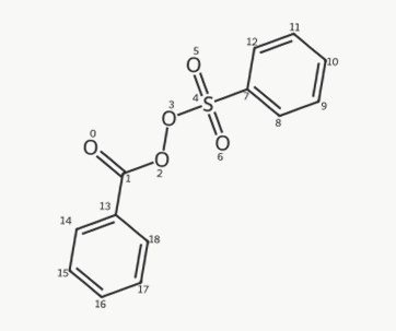 O=C(OOS(=O)(=O)c1ccccc1)c1ccccc1